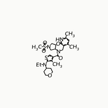 CCN(c1scc(C(=O)N(Cc2c(C)cc(C)[nH]c2=O)C2CCN(S(C)(=O)=O)C2)c1C)C1CCOCC1